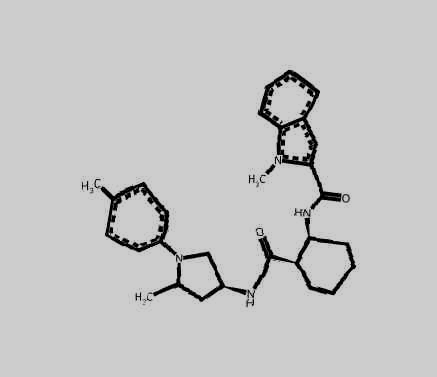 Cc1ccc(N2C[C@@H](NC(=O)[C@@H]3CCCC[C@@H]3NC(=O)c3cc4ccccc4n3C)CC2C)cc1